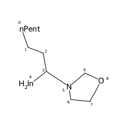 CCCCCCC[CH]([InH2])N1CCOC1